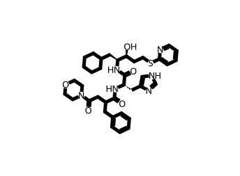 O=C(N[C@@H](Cc1c[nH]cn1)C(=O)N[C@@H](CC1CCCCC1)[C@@H](O)CCSc1ccccn1)C(CC(=O)N1CCOCC1)Cc1ccccc1